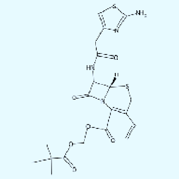 C=CC1=C(C(=O)OCOC(=O)C(C)(C)C)N2C(=O)C(NC(=O)Cc3csc(N)n3)[C@@H]2SC1